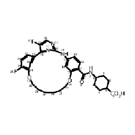 O=C(NC1CCC(C(=O)O)CC1)c1ccc2cc1OCCCCCCOc1cc(ccc1F)-c1nc(ncc1F)N2